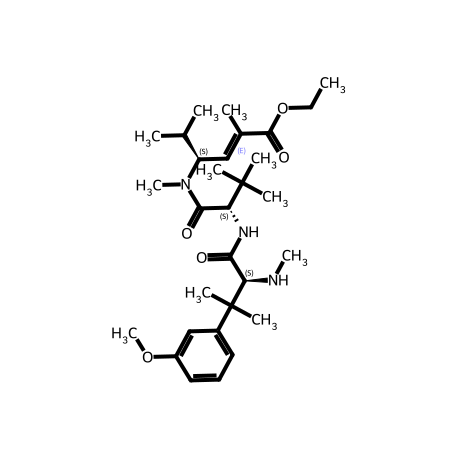 CCOC(=O)/C(C)=C/[C@H](C(C)C)N(C)C(=O)[C@@H](NC(=O)[C@@H](NC)C(C)(C)c1cccc(OC)c1)C(C)(C)C